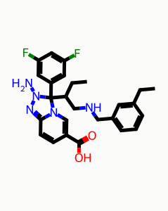 CCc1cccc(CNCC(CC)C2(c3cc(F)cc(F)c3)N(N)N=C3C=CC(C(=O)O)=CN32)c1